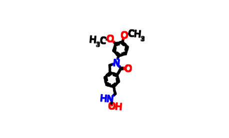 COc1ccc(N2Cc3ccc(CNO)cc3C2=O)cc1OC